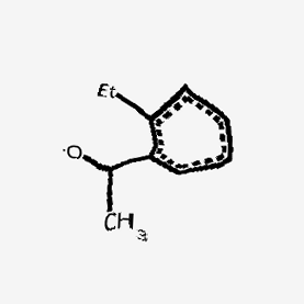 CCc1ccccc1C(C)[O]